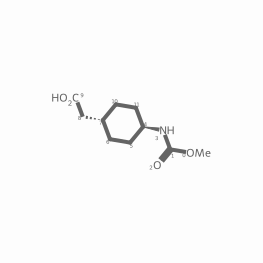 COC(=O)N[C@H]1CC[C@H](CC(=O)O)CC1